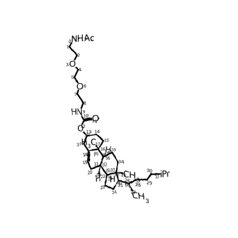 CC(=O)NCCOCCOCCNC(=O)O[C@H]1CC[C@@]2(C)C(=CC[C@H]3[C@@H]4CC[C@H]([C@H](C)CCCC(C)C)[C@@]4(C)CC[C@@H]32)C1